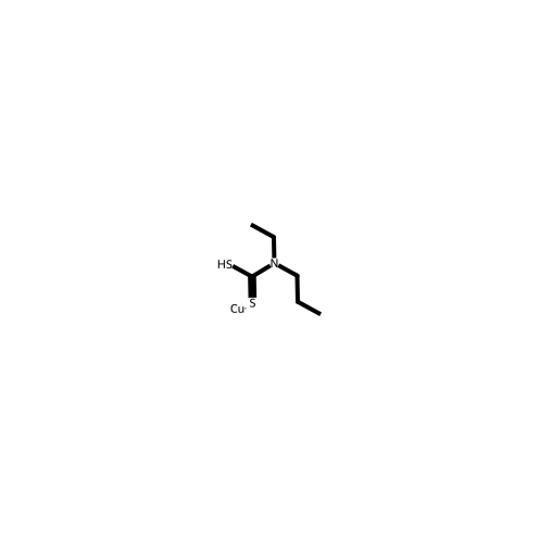 CCCN(CC)C(=S)S.[Cu]